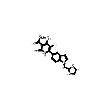 CCc1c(-c2ccc3c(ccn3CC3OCCO3)c2)[nH]c(=O)c(C(=O)OC)c1O